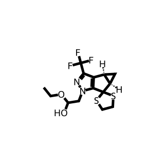 CCOC(O)Cn1nc(C(F)(F)F)c2c1C1(SCCS1)[C@@H]1C[C@H]21